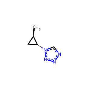 C[C@@H]1C[C@H]1n1cnnn1